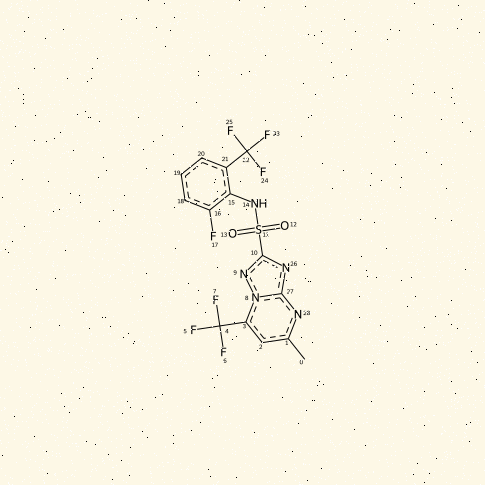 Cc1cc(C(F)(F)F)n2nc(S(=O)(=O)Nc3c(F)cccc3C(F)(F)F)nc2n1